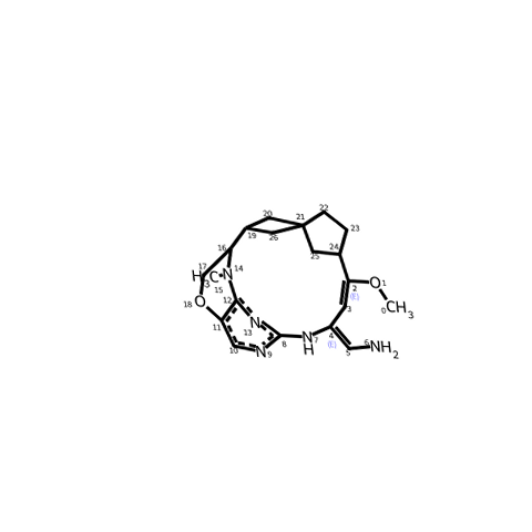 CO/C1=C/C(=C\N)Nc2ncc3c(n2)N(C)C(CO3)C2CC3(CCC1C3)C2